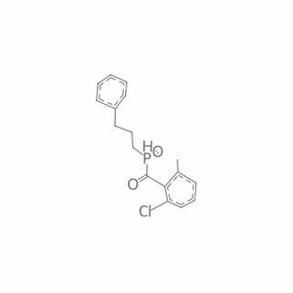 Cc1cccc(Cl)c1C(=O)[PH](=O)CCCc1ccccc1